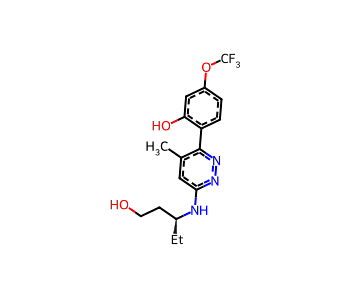 CC[C@@H](CCO)Nc1cc(C)c(-c2ccc(OC(F)(F)F)cc2O)nn1